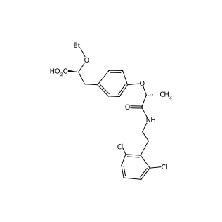 CCO[C@@H](Cc1ccc(O[C@H](C)C(=O)NCCc2c(Cl)cccc2Cl)cc1)C(=O)O